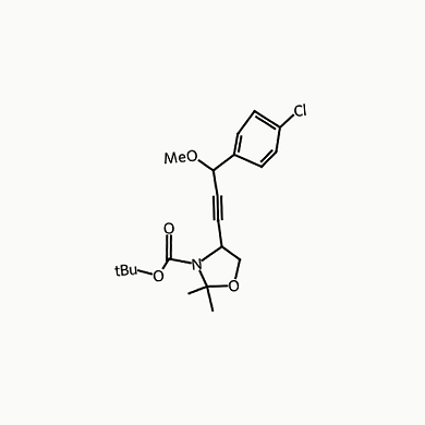 COC(C#CC1COC(C)(C)N1C(=O)OC(C)(C)C)c1ccc(Cl)cc1